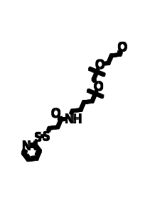 CC(C)(CCCCNC(=O)CCSSc1ccccn1)OCC(C)(C)OCCC=O